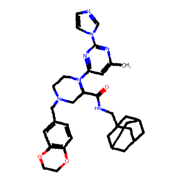 Cc1cc(N2CCN(Cc3ccc4c(c3)OCCO4)CC2C(=O)NCC23CC4CC(CC(C4)C2)C3)nc(-n2ccnc2)n1